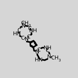 CN1CCNCCN(Cc2cccc(CN3CCNCCN(C)CCNCC3)c2)CCNCC1